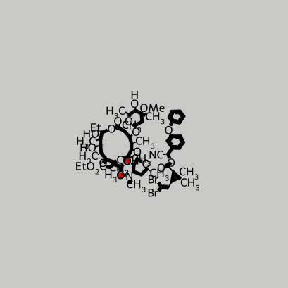 CC1(C)[C@H](C(=O)O[C@H](C#N)c2cccc(Oc3ccccc3)c2)[C@@H]1C=C(Br)Br.CCOC(=O)CCC(=O)O[C@H]1[C@H](O[C@@H]2[C@@H](C)[C@H](O[C@H]3C[C@@](C)(OC)[C@@H](O)[C@H](C)O3)[C@@H](C)C(=O)O[C@H](CC)[C@@](C)(O)[C@H](O)[C@@H](C)C(=O)[C@H](C)C[C@@]2(C)O)O[C@H](C)C[C@@H]1N(C)C